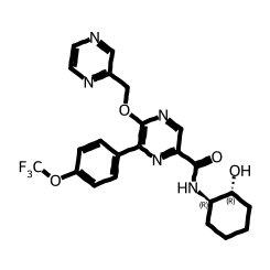 O=C(N[C@@H]1CCCC[C@H]1O)c1cnc(OCc2cnccn2)c(-c2ccc(OC(F)(F)F)cc2)n1